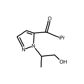 CC(C)C(=O)c1ccnn1C(C)CO